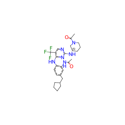 CC(=O)Nc1cc(CC2CCCC2)ccc1Nc1nc(N[C@H]2CCCN(C(C)=O)C2)ncc1C(F)(F)F